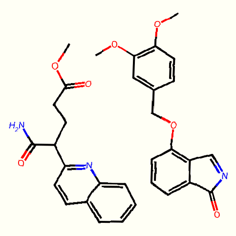 COC(=O)CCC(C(N)=O)c1ccc2ccccc2n1.COc1ccc(COc2cccc3c2C=NC3=O)cc1OC